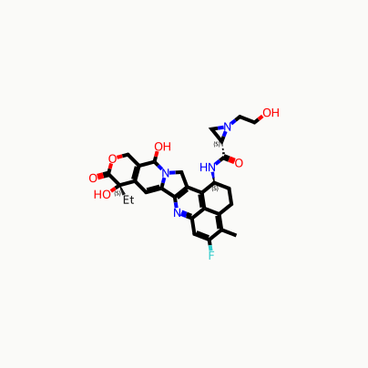 CC[C@@]1(O)C(=O)OCC2=C1C=C1c3nc4cc(F)c(C)c5c4c(c3CN1C2O)[C@@H](NC(=O)[C@@H]1CN1CCO)CC5